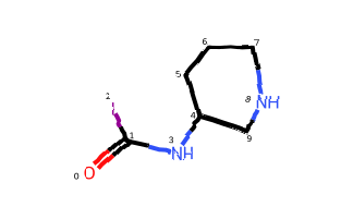 O=C(I)NC1CCCNC1